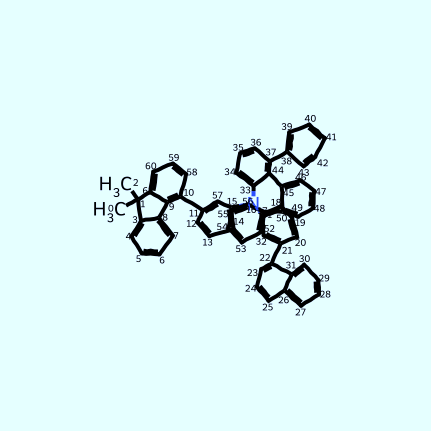 CC1(C)c2ccccc2-c2c(-c3cccc(N(c4cccc(-c5cccc6ccccc56)c4)c4cccc(-c5ccccc5)c4-c4ccccc4-c4ccccc4)c3)cccc21